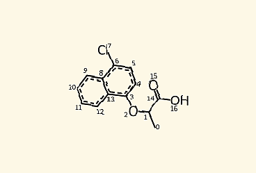 CC(Oc1ccc(Cl)c2ccccc12)C(=O)O